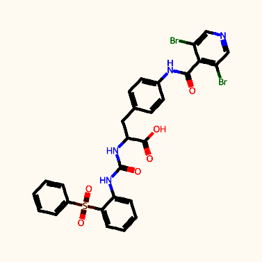 O=C(Nc1ccccc1S(=O)(=O)c1ccccc1)NC(Cc1ccc(NC(=O)c2c(Br)cncc2Br)cc1)C(=O)O